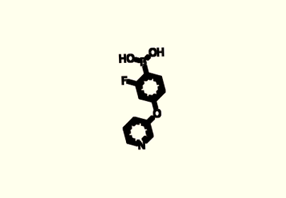 OB(O)c1ccc(Oc2cccnc2)cc1F